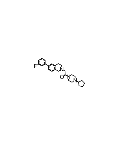 O=C(CN1CCc2cc(-c3cccc(F)c3)ccc2C1)N1CCN(C2CCCC2)CC1